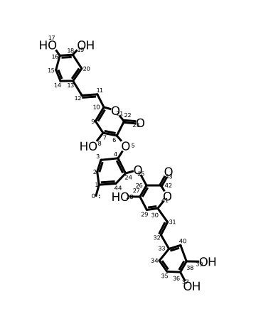 [CH]c1ccc(Oc2c(O)cc(C=Cc3ccc(O)c(O)c3)oc2=O)c(Oc2c(O)cc(C=Cc3ccc(O)c(O)c3)oc2=O)c1